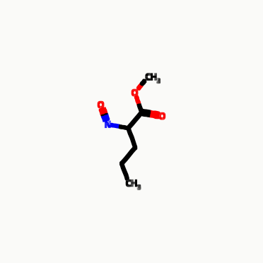 CCCC(N=O)C(=O)OC